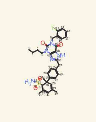 CCCCn1c(=O)n(Cc2ccccc2F)c(=O)c2[nH]c(Cc3ccc(C4(C)C=C(C)C=C(C)C4S(N)(=O)=O)cc3)nc21